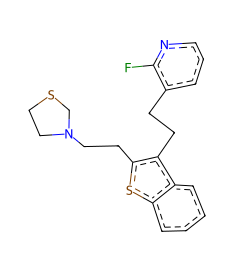 Fc1ncccc1CCc1c(CCN2CCSC2)sc2ccccc12